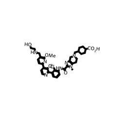 COc1nc(-c2ccnc(-c3cccc(NC(=O)c4nc5c(n4C)CCN(CC4CCC(C(=O)O)CC4)C5)c3Cl)c2Cl)ccc1CNCCO